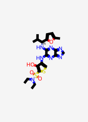 CCN(CC)S(=O)(=O)c1scc(Nc2nc3c(nc2N[C@@H](c2ccc(C)o2)C(C)C)=NCN=3)c1O